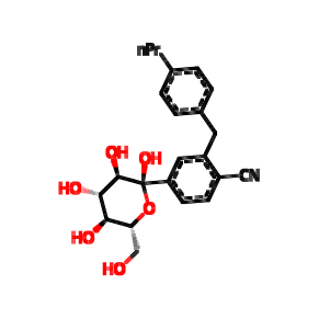 CCCc1ccc(Cc2cc([C@]3(O)O[C@H](CO)[C@@H](O)[C@H](O)[C@H]3O)ccc2C#N)cc1